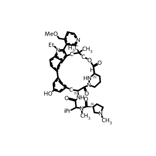 CCn1c(-c2cnccc2COC)c2c3cc(ccc31)-c1cc(O)cc(c1)C[C@H](NC(=O)C(C(C)C)N(C)C(=O)[C@H]1CCN(C)C1)C(=O)N1CCC[C@H](N1)C(=O)OCC(C)(C)C2